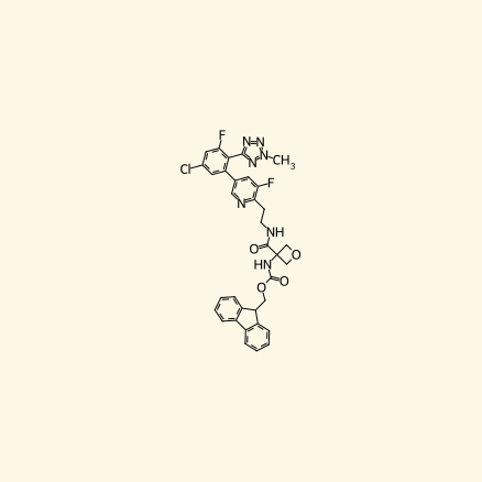 Cn1nnc(-c2c(F)cc(Cl)cc2-c2cnc(CCNC(=O)C3(NC(=O)OCC4c5ccccc5-c5ccccc54)COC3)c(F)c2)n1